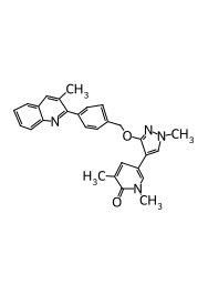 Cc1cc2ccccc2nc1-c1ccc(COc2nn(C)cc2-c2cc(C)c(=O)n(C)c2)cc1